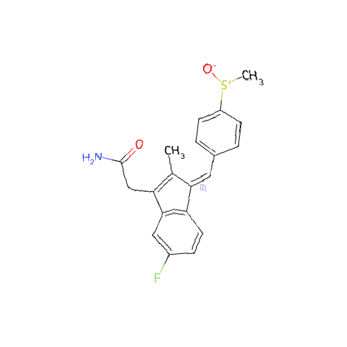 CC1=C(CC(N)=O)c2cc(F)ccc2/C1=C/c1ccc([S+](C)[O-])cc1